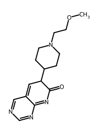 COCCN1CCC(C2C=c3cncnc3=NC2=O)CC1